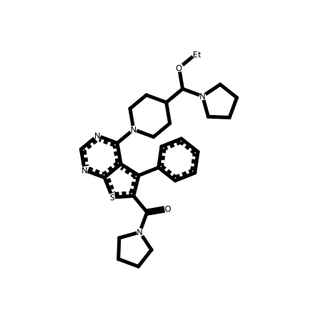 CCOC(C1CCN(c2ncnc3sc(C(=O)N4CCCC4)c(-c4ccccc4)c23)CC1)N1CCCC1